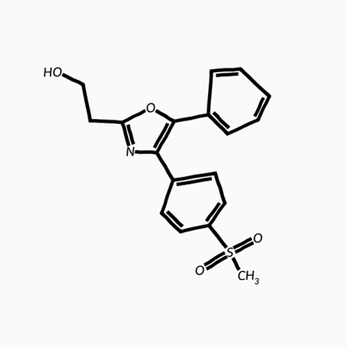 CS(=O)(=O)c1ccc(-c2nc(CCO)oc2-c2ccccc2)cc1